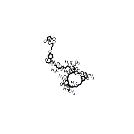 COc1cc2cc(c1Cl)N(C)C(=O)C[C@H](OC(=O)[C@H](C)N(C)C(=O)CCSSC(C)(C)CC(=O)N/N=C1\CCOC3C=C(OCCCC(=O)ON4C(=O)CCC4=O)C=CC13)C(C)(O)C[C@H](C)[C@@H]1C[C@@](O)(NC(=O)O1)[C@H](OC)/C=C/C=C(\C)C2